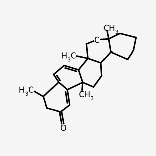 CC1CC(=O)C=C2C1=CC=C1C2(C)CCC2C3CCCCC3(C)CCC12C